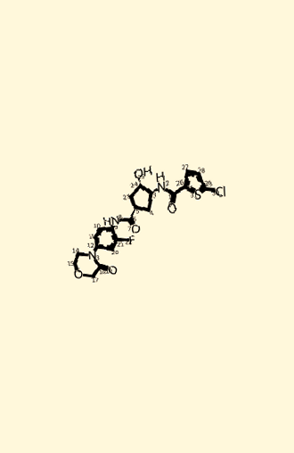 O=C(N[C@H]1C[C@@H](C(=O)Nc2ccc(N3CCOCC3=O)cc2F)C[C@@H]1O)c1ccc(Cl)s1